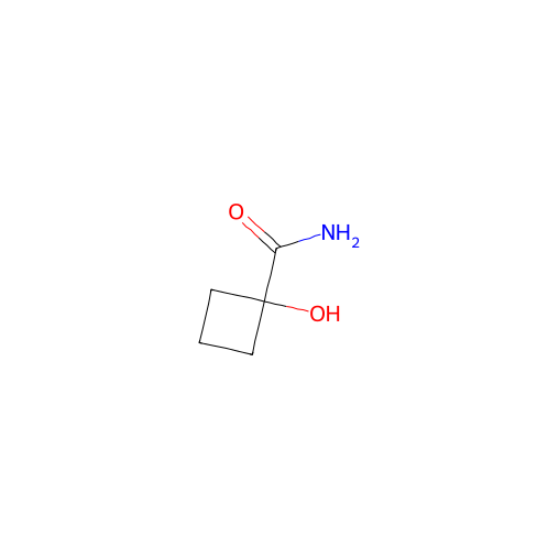 NC(=O)C1(O)CCC1